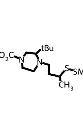 CSSC(C)CCN1CCN(C(=O)O)CC1C(C)(C)C